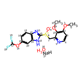 COc1ccnc(C[S@+]([O-])c2nc3ccc(OC(F)F)cc3[nH]2)c1OC.O.[NaH]